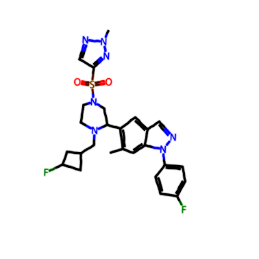 Cc1cc2c(cnn2-c2ccc(F)cc2)cc1C1CN(S(=O)(=O)c2cnn(C)n2)CCN1CC1CC(F)C1